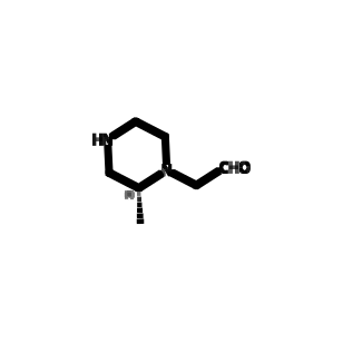 C[C@@H]1CNCCN1CC=O